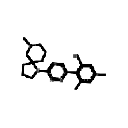 Cc1cc(C)c(-c2ccc(N3CCCC34CCCN(C)C4)nn2)c(O)c1